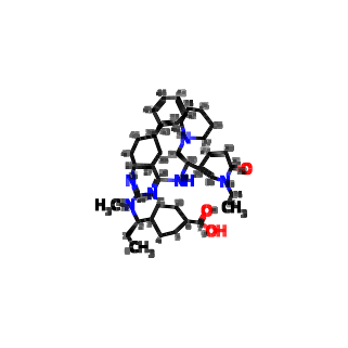 CC[C@H](C1CCC(C(=O)O)CC1)N(C)c1nc2c(c(N[C@@H](CN3CCCCC3)c3ccc(=O)n(CC)c3)n1)C[C@H](c1ccccc1)CC2